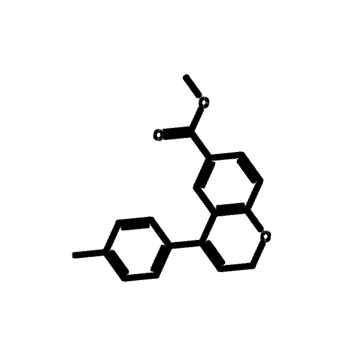 COC(=O)c1ccc2c(c1)C(c1ccc(C)cc1)=CCO2